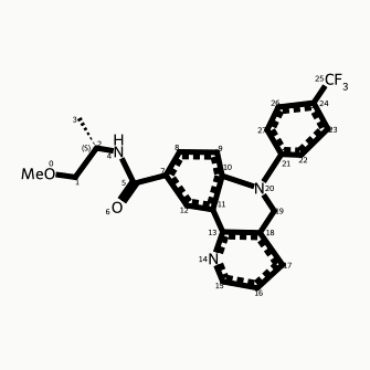 COC[C@H](C)NC(=O)c1ccc2c(c1)-c1ncccc1CN2c1ccc(C(F)(F)F)cc1